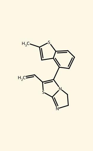 C=CC1=C(c2cccc3sc(C)cc23)N2CCN=C2S1